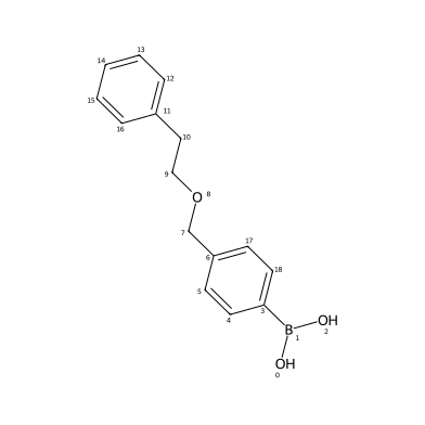 OB(O)c1ccc(COCCc2ccccc2)cc1